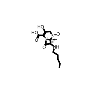 CCCCCNC1C(=O)N2C(C(=O)O)=C(O)C[S+]([O-])[C@H]12